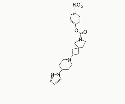 O=C(Oc1ccc([N+](=O)[O-])cc1)N1CCC2(CC(N3CCC(n4cccn4)CC3)C2)C1